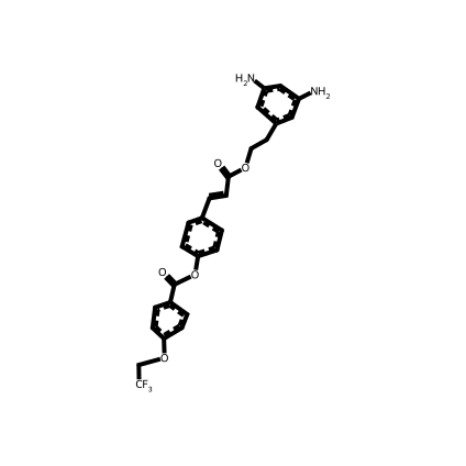 Nc1cc(N)cc(CCOC(=O)/C=C/c2ccc(OC(=O)c3ccc(OCC(F)(F)F)cc3)cc2)c1